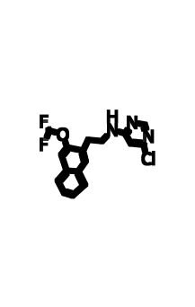 FC(F)Oc1cc2ccccc2cc1CCNc1cc(Cl)ncn1